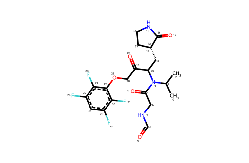 CC(C)N(C(=O)CNC=O)C(C[C@@H]1CCNC1=O)C(=O)COc1c(F)c(F)cc(F)c1F